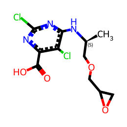 C[C@@H](COCC1CO1)Nc1nc(Cl)nc(C(=O)O)c1Cl